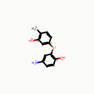 Cc1ccc(Sc2cc(N)ccc2O)cc1O